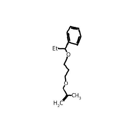 C=C(C)COCCCOC(CC)c1ccccc1